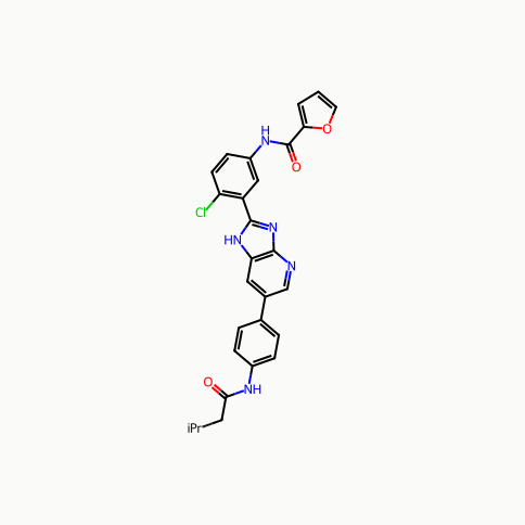 CC(C)CC(=O)Nc1ccc(-c2cnc3nc(-c4cc(NC(=O)c5ccco5)ccc4Cl)[nH]c3c2)cc1